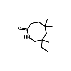 CCC1(C)CNC(=O)CCC(C)(C)C1